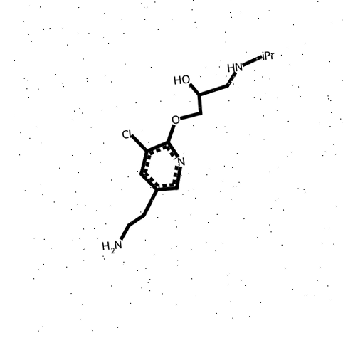 CC(C)NCC(O)COc1ncc(CCN)cc1Cl